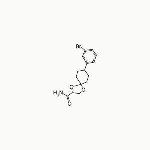 NC(=O)C1COC2(CC[C](c3cccc(Br)c3)CC2)O1